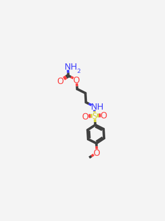 COc1ccc(S(=O)(=O)NCCCOC(N)=O)cc1